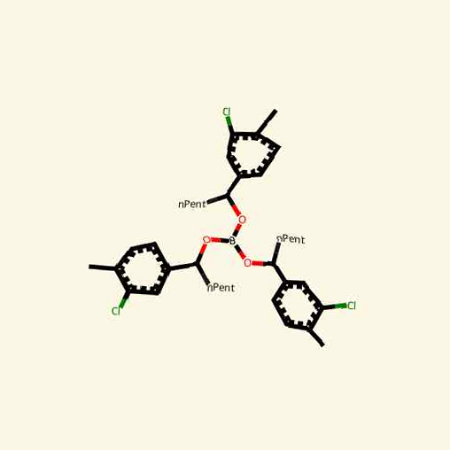 CCCCCC(OB(OC(CCCCC)c1ccc(C)c(Cl)c1)OC(CCCCC)c1ccc(C)c(Cl)c1)c1ccc(C)c(Cl)c1